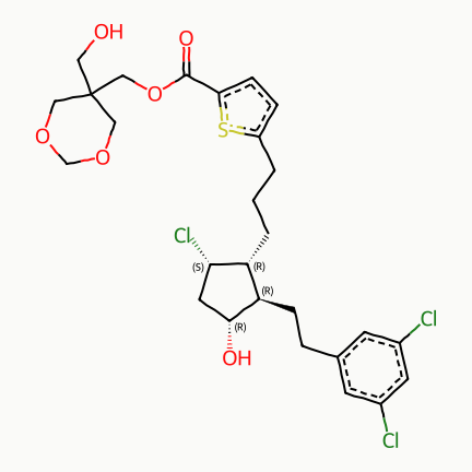 O=C(OCC1(CO)COCOC1)c1ccc(CCC[C@@H]2[C@@H](CCc3cc(Cl)cc(Cl)c3)[C@H](O)C[C@@H]2Cl)s1